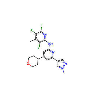 Cc1c(F)c(F)nc(Nc2cc(C3CCOCC3)cc(-c3cnn(C)c3)n2)c1F